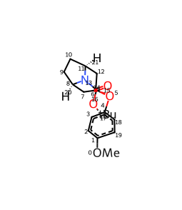 COc1ccc(O[C@H]2C[C@H]3CC[C@@H](C2)N3C(=O)OC(C)(C)C)cc1